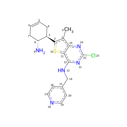 Cc1c([C@@H]2CC=CC[C@H]2N)sc2c(NCc3ccncc3)nc(Cl)nc12